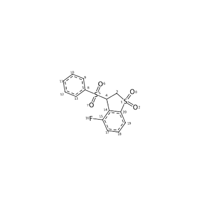 O=S1(=O)CC(S(=O)(=O)c2ccccc2)c2c(F)cccc21